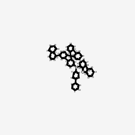 c1ccc(-c2ccc(N(c3ccc4c(c3)C3(c5ccccc5-c5ccccc53)c3ccc(-c5cccc6ccccc56)cc3-4)c3cccc4c3oc3ccccc34)cc2)cc1